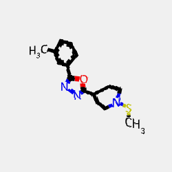 CSN1CCC(c2nnc(-c3cccc(C)c3)o2)CC1